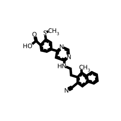 CSc1cc(-c2cc(NCCc3c(C#N)cc4ccccc4c3C)ncn2)ccc1C(=O)O